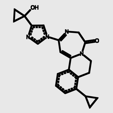 O=C1CN=C(n2cnc(C3(O)CC3)c2)C=C2c3cccc(C4CC4)c3CCN12